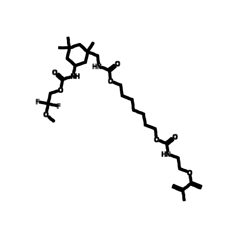 C=C(C)C(=C)OCCNC(=O)OCCCCCCCOC(=O)NCC1(C)CC(NC(=O)OCC(F)(F)OC)CC(C)(C)C1